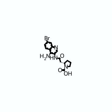 Nc1c(NC(=O)C[C@@H]2CCCN2C(=O)O)cnc2cc(Br)ccc12